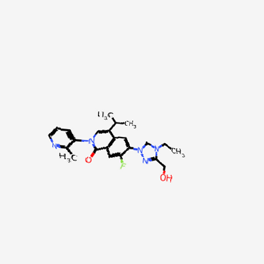 CCN1CN(c2cc3c(C(C)C)cn(-c4cccnc4C)c(=O)c3cc2F)N=C1CO